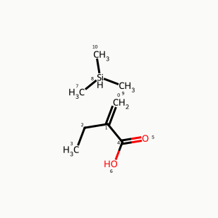 C=C(CC)C(=O)O.C[SiH](C)C